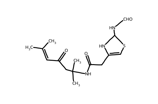 CC(C)=CC(=O)CC(C)(C)NC(=O)CC1=CSC(NC=O)N1